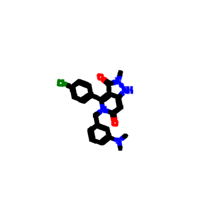 CN(C)c1cccc(Cn2c(-c3ccc(Cl)cc3)c3c(=O)n(C)[nH]c3cc2=O)c1